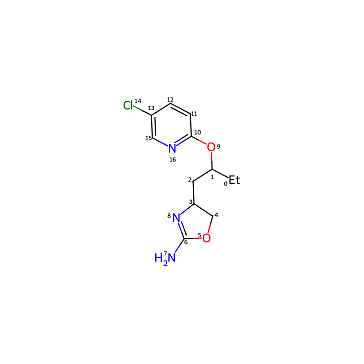 CCC(CC1COC(N)=N1)Oc1ccc(Cl)cn1